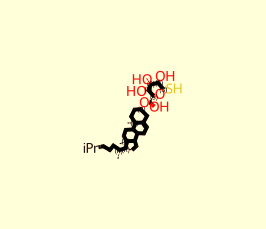 CC(C)CCC[C@@H](C)[C@H]1CCC2C3CC=C4C[C@H](OC(O)[C@H]5O[C@@H](S)[C@H](O)[C@@H](O)[C@H]5O)CC[C@]4(C)C3CC[C@@]21C